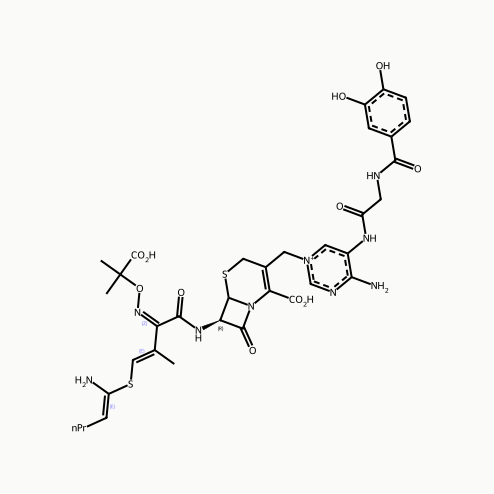 CCC/C=C(\N)S/C=C(C)/C(=N/OC(C)(C)C(=O)O)C(=O)N[C@@H]1C(=O)N2C(C(=O)O)=C(C[n+]3cnc(N)c(NC(=O)CNC(=O)c4ccc(O)c(O)c4)c3)CSC12